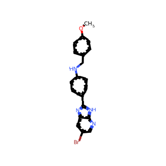 COc1ccc(CNc2ccc(-c3nc4cc(Br)cnc4[nH]3)cc2)cc1